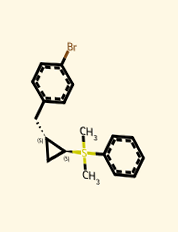 CS(C)(c1ccccc1)[C@H]1C[C@@H]1Cc1ccc(Br)cc1